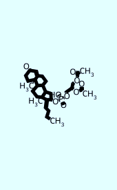 CCC/C=C1\C(OP(=O)(O)OCC(COC(C)=O)OC(C)=O)CC2C3CCC4=CC(=O)CC[C@]4(C)C3CC[C@]12C